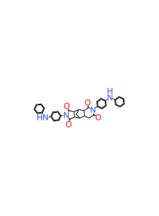 O=C1CC2C3CC(C2C(=O)N1c1ccc(Nc2ccccc2)cc1)C1C(=O)N(c2ccc(Nc4ccccc4)cc2)C(=O)C31